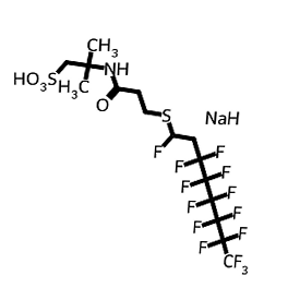 CC(C)(CS(=O)(=O)O)NC(=O)CCSC(F)CC(F)(F)C(F)(F)C(F)(F)C(F)(F)C(F)(F)C(F)(F)F.[NaH]